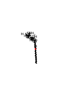 CCCCCCCCCCCCCCCCOCCCOP1(=O)OC[C@H]2O[C@@H](n3cc(C(N)=S)c4c(N)ncnc43)[C@H](O)[C@@H]2O1